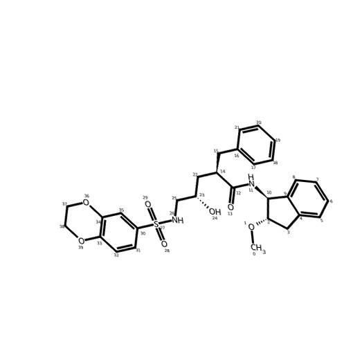 CO[C@H]1Cc2ccccc2[C@@H]1NC(=O)[C@H](Cc1ccccc1)C[C@H](O)CNS(=O)(=O)c1ccc2c(c1)OCCO2